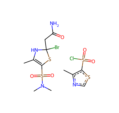 CC1=C(S(=O)(=O)N(C)C)SC(Br)(CC(N)=O)N1.Cc1ncsc1S(=O)(=O)Cl